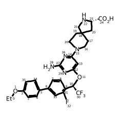 CCOc1ccc(-c2ccc([C@@H](Oc3cc(N4CCC5(CC4)CN[C@H](C(=O)O)C5)nc(N)n3)C(F)(F)F)c(F)c2)cc1